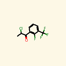 CC(Cl)C(=O)c1cccc(C(F)(F)F)c1F